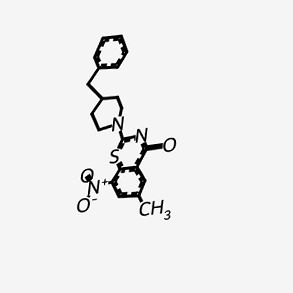 Cc1cc([N+](=O)[O-])c2sc(N3CCC(Cc4ccccc4)CC3)nc(=O)c2c1